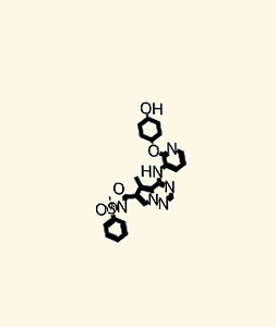 Cc1c(C(=O)N=[S@](C)(=O)c2ccccc2)cn2ncnc(Nc3cccnc3O[C@H]3CC[C@H](O)CC3)c12